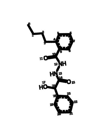 CCCCc1ccccc1C(=O)NNC(=O)C(O)c1ccccc1